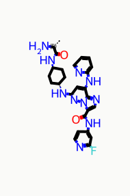 C[C@@H](N)C(=O)N[C@H]1CC[C@H](Nc2cc(Nc3ccccn3)c3ncc(C(=O)Nc4ccnc(F)c4)n3n2)CC1